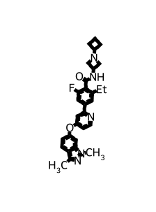 CCc1cc(-c2cc(Oc3ccc4c(C)nn(C)c4c3)ccn2)cc(F)c1C(=O)NC1CN(C2CCC2)C1